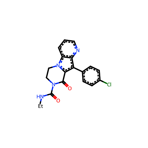 CCNC(=O)N1CCn2c(c(-c3ccc(Cl)cc3)c3ncccc32)C1=O